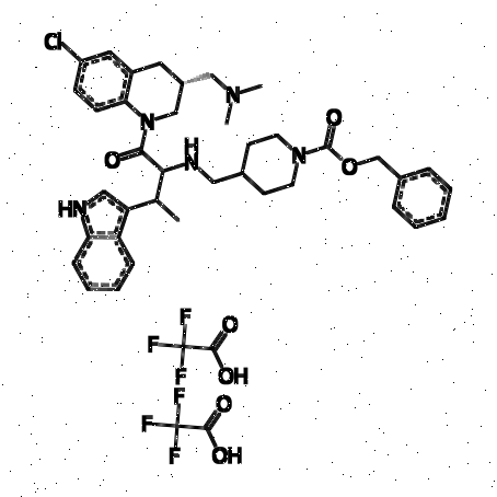 CC(c1c[nH]c2ccccc12)C(NCC1CCN(C(=O)OCc2ccccc2)CC1)C(=O)N1C[C@@H](CN(C)C)Cc2cc(Cl)ccc21.O=C(O)C(F)(F)F.O=C(O)C(F)(F)F